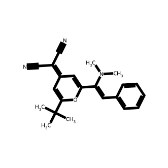 CN(C)C(=Cc1ccccc1)C1=CC(=C(C#N)C#N)C=C(C(C)(C)C)O1